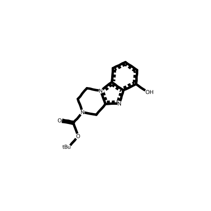 CC(C)(C)OC(=O)N1CCn2c(nc3c(O)cccc32)C1